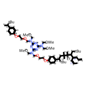 C=C/C=C(\C=C/C)C(CC(C)(C)C)C(C)(CC)C(C)(C)CC(c1ccc(OCCOCN(COC)c2nc(N(COC)COC)nc(N(COC)COCCOC3=C=C=C(C(C)C(C)(C)C)C=C3)n2)cc1)C(C)(C)C